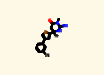 CC(C)C1(c2cc(-c3cccc(C#N)c3)cs2)CC(=O)N(C)C(=N)N1